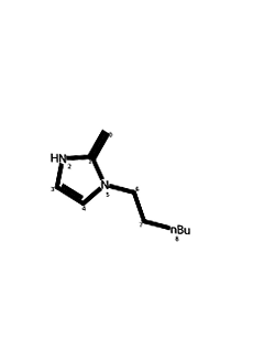 C=C1NC=CN1CCCCCC